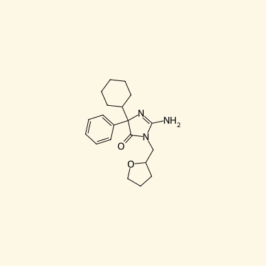 NC1=NC(c2ccccc2)(C2CCCCC2)C(=O)N1CC1CCCO1